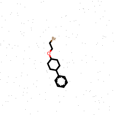 BrCCOC1CCC(c2ccccc2)CC1